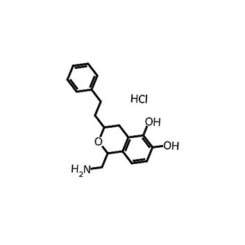 Cl.NCC1OC(CCc2ccccc2)Cc2c1ccc(O)c2O